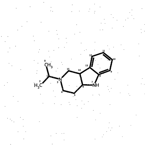 CC(C)N1CCC2Nc3ccccc3C2C1